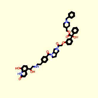 O=C(COc1cccc(C(O)(C(=O)OCC2CCN(Cc3ccccc3)CC2)c2ccccc2)c1)N1CC2CCN(C(=O)c3ccc(CCNCC(O)c4ccc(O)c5[nH]c(=O)ccc45)cc3)C2C1